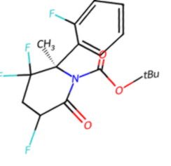 CC(C)(C)OC(=O)N1C(=O)C(F)CC(F)(F)[C@@]1(C)c1ccccc1F